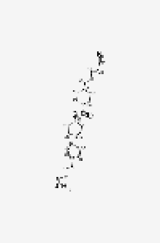 CCCCCc1ccc([C@H]2CC[C@H](OC(=O)[C@H]3CC[C@H](CCC=CC#N)CC3)CC2)cc1